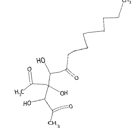 CCCCCCCC(=O)C(O)C(O)(C(C)=O)C(O)C(C)=O